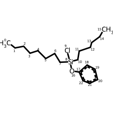 CCCCCCCC[Si](Cl)(CCCCCC)Oc1ccccc1